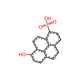 O=S(=O)(O)c1ccc2ccc3ccc(O)c4ccc1c2c34